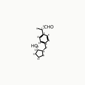 C[C@H](C=O)c1ccc(C[C@H]2CCC[C@@H]2O)cc1